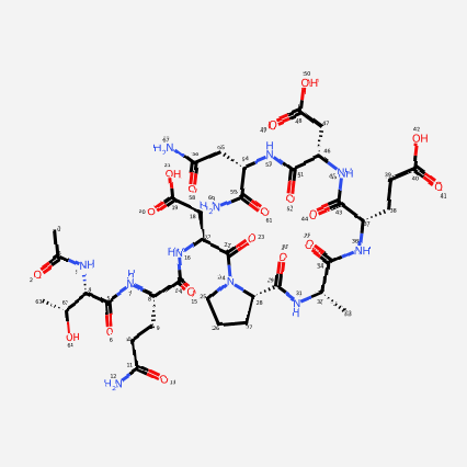 CC(=O)N[C@H](C(=O)N[C@@H](CCC(N)=O)C(=O)N[C@@H](CC(=O)O)C(=O)N1CCC[C@H]1C(=O)N[C@@H](C)C(=O)N[C@@H](CCC(=O)O)C(=O)N[C@@H](CC(=O)O)C(=O)N[C@@H](CC(N)=O)C(N)=O)[C@@H](C)O